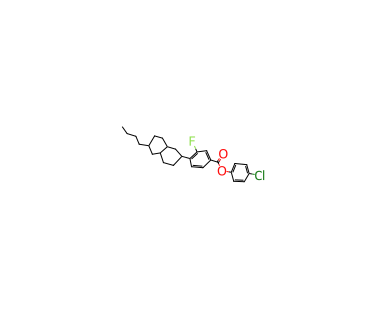 CCCCC1CCC2CC(c3ccc(C(=O)Oc4ccc(Cl)cc4)cc3F)CCC2C1